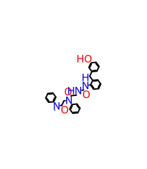 CN(C(=O)CN(C(=O)CNC(=O)Nc1ccccc1Cc1cccc(O)c1)c1ccccc1)c1ccccc1